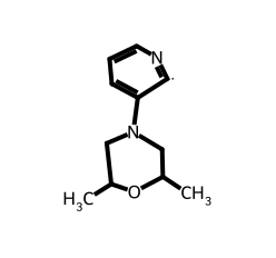 CC1CN(c2[c]nccc2)CC(C)O1